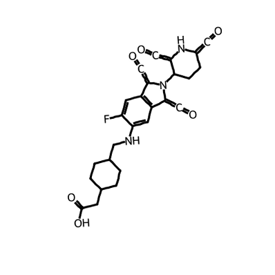 O=C=C1CCC(n2c(=C=O)c3cc(F)c(NCC4CCC(CC(=O)O)CC4)cc3c2=C=O)C(=C=O)N1